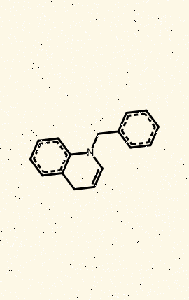 C1=CN(Cc2ccccc2)c2ccccc2C1